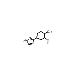 COC1CN(c2cc[nH]n2)CCC1O